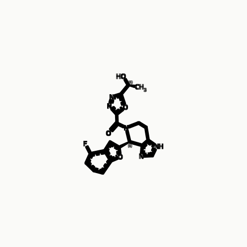 C[C@H](O)c1nnc(C(=O)N2CCc3[nH]cnc3[C@H]2c2cc3c(F)cccc3o2)o1